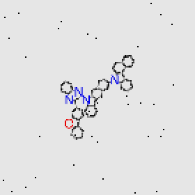 c1ccc2c(c1)ccc1c2c2ccccc2n1-c1ccc2cc3c(cc2c1)c1ccccc1n3-c1nc2ccccc2nc1-c1ccc2c(c1)oc1ccccc12